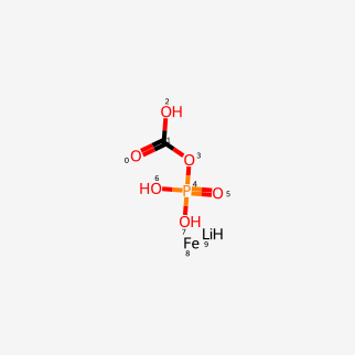 O=C(O)OP(=O)(O)O.[Fe].[LiH]